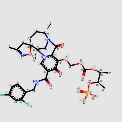 CC1=NO[C@@]2(CC[C@H](C)N3C[C@H]2n2cc(C(=O)NCc4ccc(F)cc4F)c(=O)c(OCOC(=O)O[C@@H](C)[C@@H](C)OP(=O)(O)O)c2C3=O)C1